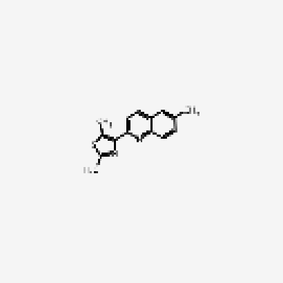 Cc1ccc2nc(-c3nc(C)sc3C)ccc2c1